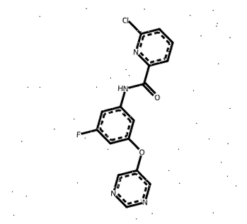 O=C(Nc1cc(F)cc(Oc2cncnc2)c1)c1cccc(Cl)n1